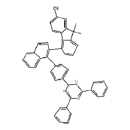 CC1(C)c2cc(C#N)ccc2-c2c(-c3ccc4ccccc4c3-c3ccc(C4N=C(c5ccccc5)N=C(c5ccccc5)N4)cc3)cccc21